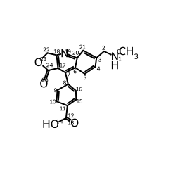 CNCc1ccc2c(-c3ccc(C(=O)O)cc3)c3c(nc2c1)COC3=O